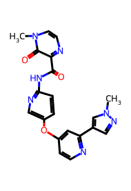 Cn1cc(-c2cc(Oc3ccc(NC(=O)c4nccn(C)c4=O)nc3)ccn2)cn1